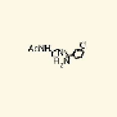 CC(=O)NC1CCN(C[C@H](N)c2cccc(Cl)c2)C1